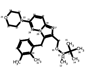 Cc1cccc(Cc2c(CO[SiH](C)C(C)(C)C)nc3ccc(N4CCOCC4)nn23)c1C